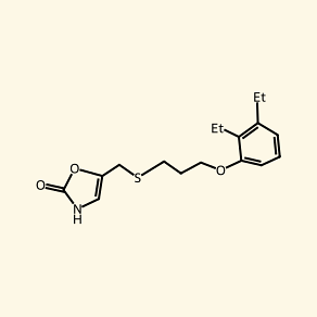 CCc1cccc(OCCCSCc2c[nH]c(=O)o2)c1CC